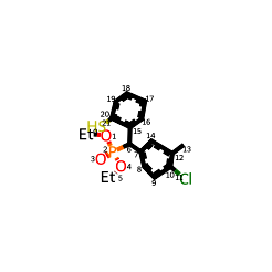 CCOP(=O)(OCC)C(c1ccc(Cl)c(C)c1)c1ccccc1S